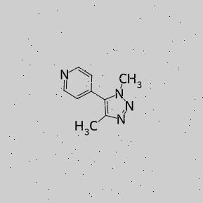 Cc1nnn(C)c1-c1ccncc1